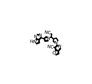 N#CCC(C1CCN(c2ncc3ccoc3c2C#N)C1)n1ccc(-c2ncnc3[nH]ccc23)c1